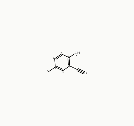 C#Cc1cc(C)ccc1O